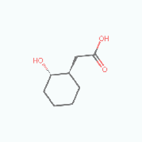 O=C(O)C[C@H]1CCCC[C@@H]1O